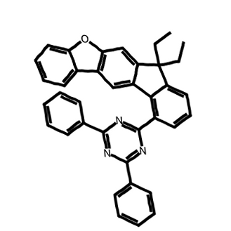 CCC1(CC)c2cc3oc4ccccc4c3cc2-c2c(-c3nc(-c4ccccc4)nc(-c4ccccc4)n3)cccc21